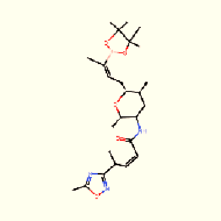 C/C(=C/C[C@@H]1O[C@H](C)[C@H](NC(=O)/C=C\C(C)c2noc(C)n2)C[C@@H]1C)B1OC(C)(C)C(C)(C)O1